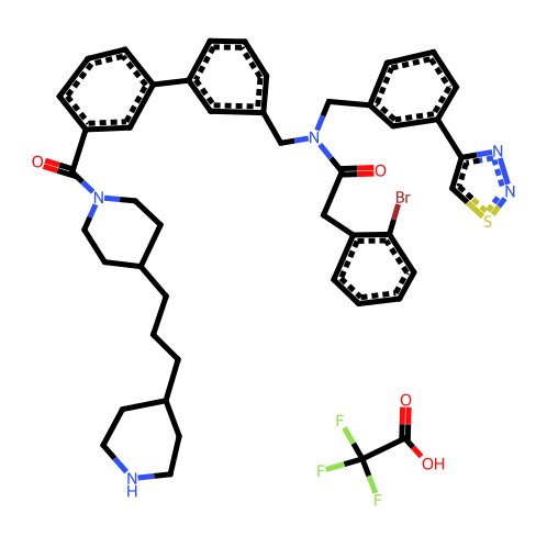 O=C(Cc1ccccc1Br)N(Cc1cccc(-c2cccc(C(=O)N3CCC(CCCC4CCNCC4)CC3)c2)c1)Cc1cccc(-c2csnn2)c1.O=C(O)C(F)(F)F